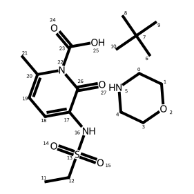 C1COCCN1.CC(C)(C)C.CCS(=O)(=O)Nc1ccc(C)n(C(=O)O)c1=O